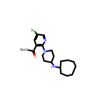 COC(=O)c1cc(Br)cnc1N1CCC(NC2CCCCCCC2)CC1